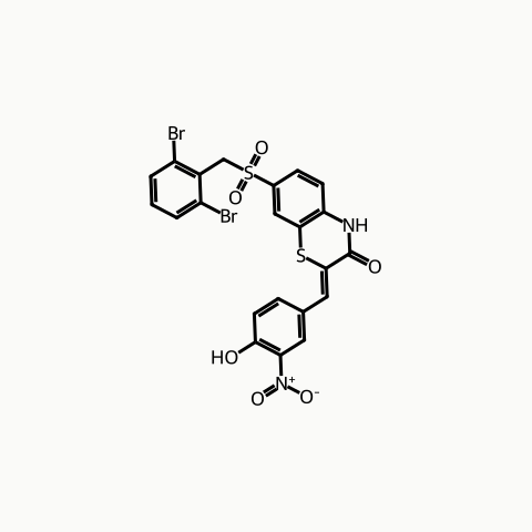 O=C1Nc2ccc(S(=O)(=O)Cc3c(Br)cccc3Br)cc2SC1=Cc1ccc(O)c([N+](=O)[O-])c1